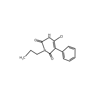 CCCn1c(=O)[nH]c(Cl)c(-c2ccccc2)c1=O